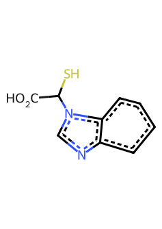 O=C(O)C(S)n1cnc2ccccc21